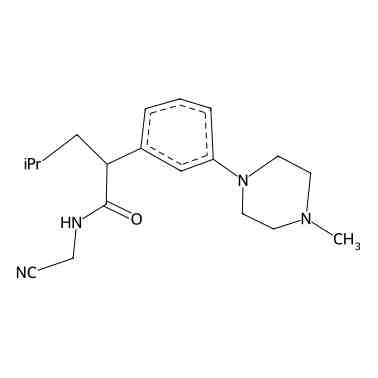 CC(C)CC(C(=O)NCC#N)c1cccc(N2CCN(C)CC2)c1